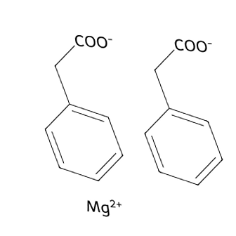 O=C([O-])Cc1ccccc1.O=C([O-])Cc1ccccc1.[Mg+2]